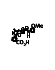 COc1cccc(NC(=O)c2ccc(/C=C3\C(=O)N(c4cccc(C(=O)O)c4)N=C3C)o2)c1